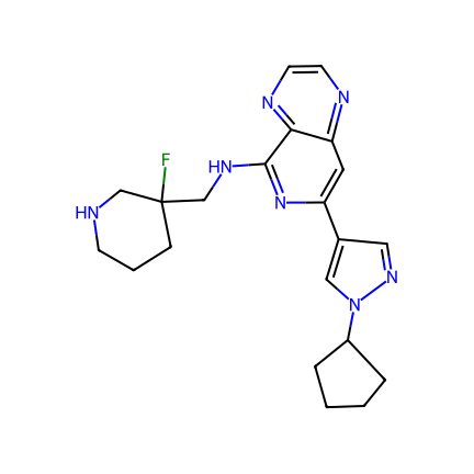 FC1(CNc2nc(-c3cnn(C4CCCC4)c3)cc3nccnc23)CCCNC1